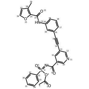 CC(=O)OS(=O)(=NC(=O)c1cncc(C#Cc2cccc(NC(=O)c3occc3C)c2)c1)c1ccccc1